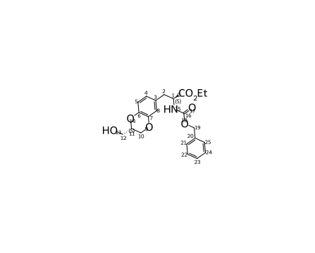 CCOC(=O)[C@H](Cc1ccc2c(c1)OC[C@H](CO)O2)NC(=O)OCc1ccccc1